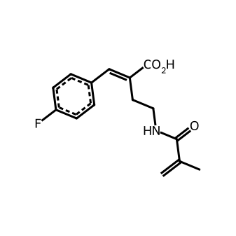 C=C(C)C(=O)NCC/C(=C\c1ccc(F)cc1)C(=O)O